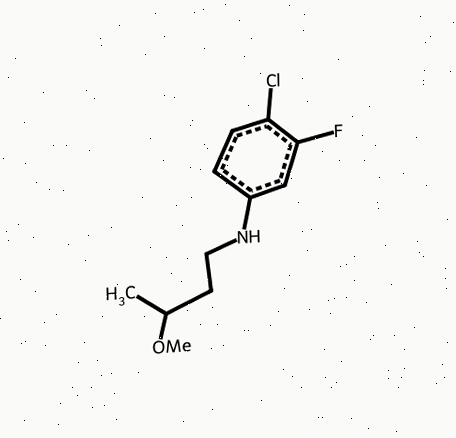 COC(C)CCNc1ccc(Cl)c(F)c1